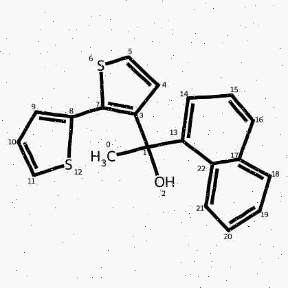 CC(O)(c1ccsc1-c1cccs1)c1cccc2ccccc12